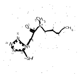 CCCCN(C)C(=O)Cn1nnnc1S